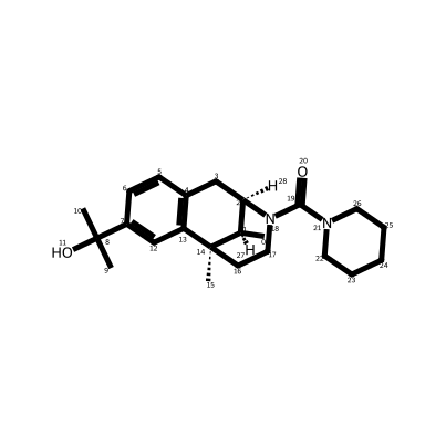 C[C@@H]1[C@H]2Cc3ccc(C(C)(C)O)cc3[C@]1(C)CCN2C(=O)N1CCCCC1